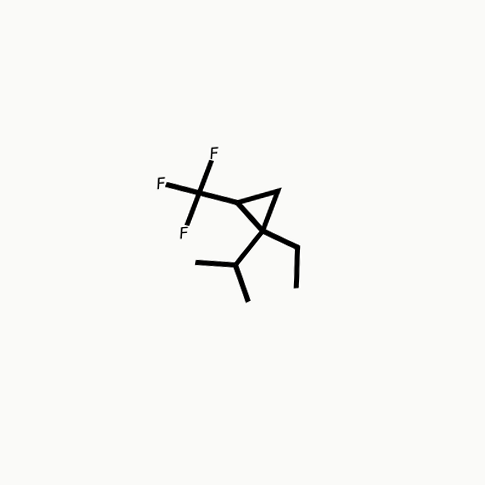 CCC1(C(C)C)CC1C(F)(F)F